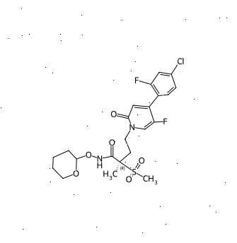 C[C@@](CCn1cc(F)c(-c2ccc(Cl)cc2F)cc1=O)(C(=O)NOC1CCCCO1)S(C)(=O)=O